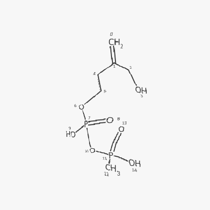 C=C(CO)CCOP(=O)(O)OP(C)(=O)O